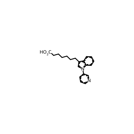 O=C(O)CCCCCCc1cn(-c2cccnc2)c2ccccc12